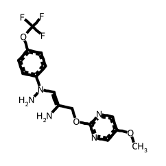 COc1cnc(OC/C(N)=C/N(N)c2ccc(OC(F)(F)F)cc2)nc1